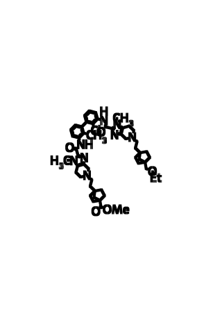 CCOCC12CCC(CCN3CCc4c(nc(C(=O)Nc5cccc(-c6cccc(NC(=O)c7nc8c(n7C)CCN(CCC79CCC(C(=O)OC)(CC7)C9)C8)c6C)c5Cl)n4C)C3)(CC1)C2